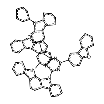 c1ccc(-n2c3ccccc3c3cc(-c4cccc(-n5c6ccccc6c6ccc7c8ccccc8n(-c8nc(-c9ccc%10oc%11ccccc%11c%10c9)nc(-c9ccc%10oc%11ccccc%11c%10c9)n8)c7c65)c4)ccc32)cc1